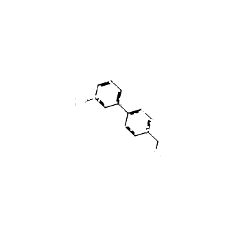 CC(=O)Cc1ccc(-c2cccc(O)c2)cc1